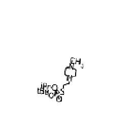 CC(C)OP(=O)(OC(C)(C)C)SCCN1CCN(C)CC1